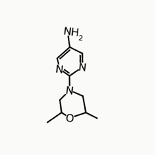 CC1CN(c2ncc(N)cn2)CC(C)O1